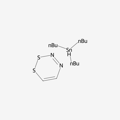 C1=CSSN=N1.CCC[CH2][SnH]([CH2]CCC)[CH2]CCC